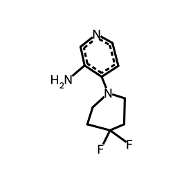 Nc1cnccc1N1CCC(F)(F)CC1